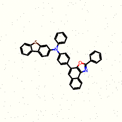 c1ccc(-c2nc3c(o2)c(-c2ccc(N(c4ccccc4)c4ccc5c(c4)sc4ccccc45)cc2)cc2ccccc23)cc1